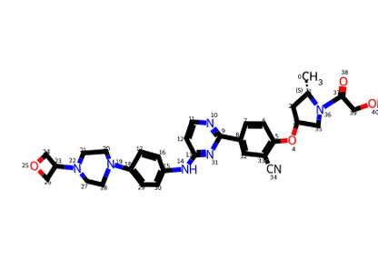 C[C@H]1CC(Oc2ccc(-c3nccc(Nc4ccc(N5CCN(C6COC6)CC5)cc4)n3)cc2C#N)CN1C(=O)CO